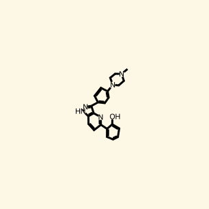 CN1CCN(c2ccc(-c3n[nH]c4ccc(-c5ccccc5O)nc34)cc2)CC1